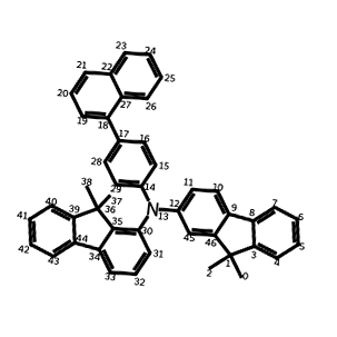 CC1(C)c2ccccc2-c2ccc(N(c3ccc(-c4cccc5ccccc45)cc3)c3cccc4c3C(C)(C)c3ccccc3-4)cc21